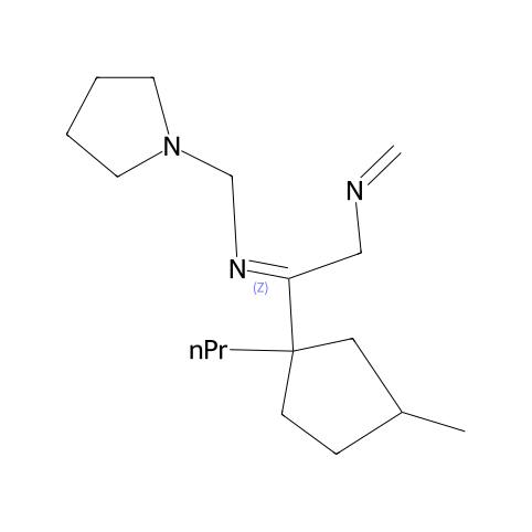 C=NC/C(=N\CN1CCCC1)C1(CCC)CCC(C)C1